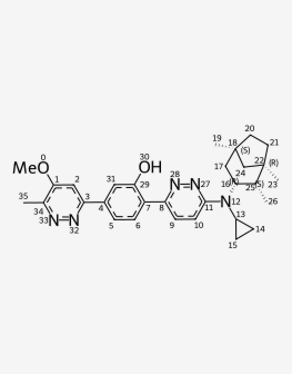 COc1cc(-c2ccc(-c3ccc(N(C4CC4)[C@@H]4C[C@@]5(C)CC[C@](C)(C5)[C@@H]4C)nn3)c(O)c2)nnc1C